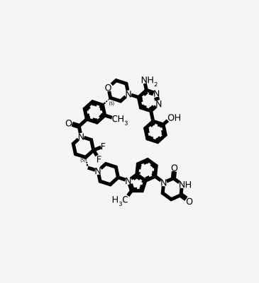 Cc1cc(C(=O)N2CC[C@@H](CN3CCC(n4c(C)cc5c(N6CCC(=O)NC6=O)cccc54)CC3)C(F)(F)C2)ccc1[C@H]1CN(c2cc(-c3ccccc3O)nnc2N)CCO1